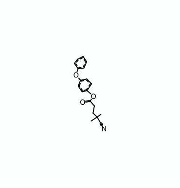 CC(C)(C#N)CCC(=O)Oc1ccc(Oc2ccccc2)cc1